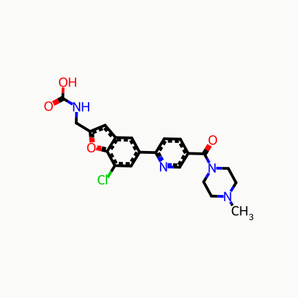 CN1CCN(C(=O)c2ccc(-c3cc(Cl)c4oc(CNC(=O)O)cc4c3)nc2)CC1